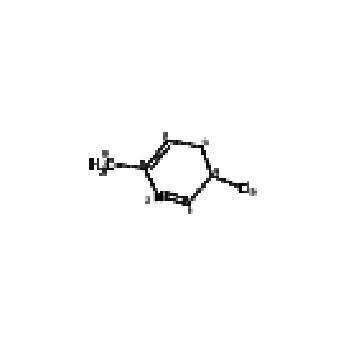 CC1=CCC(Cl)C=N1